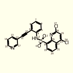 O=S(=O)(Nc1ccccc1C#Cc1cccnc1)c1cccc2c(Cl)cc(Cl)nc12